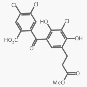 COC(=O)CCc1cc(C(=O)c2cc(Cl)c(Cl)cc2C(=O)O)c(O)c(Cl)c1O